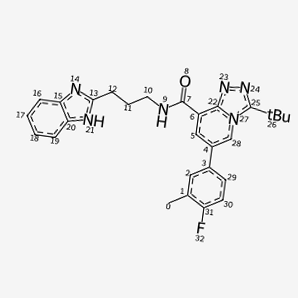 Cc1cc(-c2cc(C(=O)NCCCc3nc4ccccc4[nH]3)c3nnc(C(C)(C)C)n3c2)ccc1F